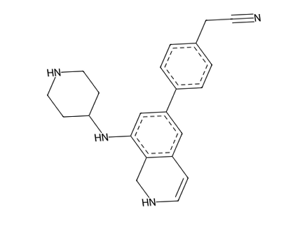 N#CCc1ccc(-c2cc3c(c(NC4CCNCC4)c2)CNC=C3)cc1